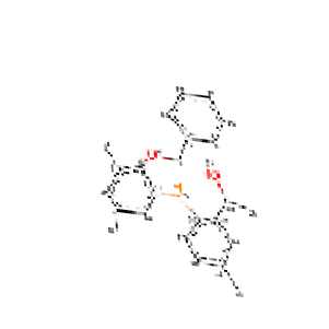 Cc1cc(C)c(OCc2ccccc2)c(Pc2ccc(C)cc2C(C)O)c1